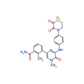 Cc1c(C(N)=O)cccc1-c1cn(C)c(=O)c(Nc2ccc(N3CC[SH4]C(=O)C3=O)cc2)n1